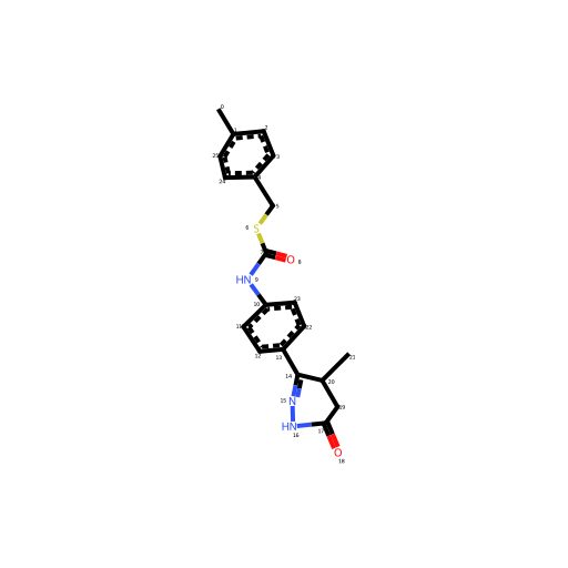 Cc1ccc(CSC(=O)Nc2ccc(C3=NNC(=O)CC3C)cc2)cc1